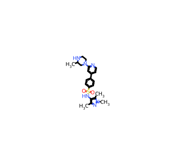 Cc1nn(C)c(C)c1NS(=O)(=O)c1ccc(-c2ccnc(N3CCNC(C)C3)c2)cc1